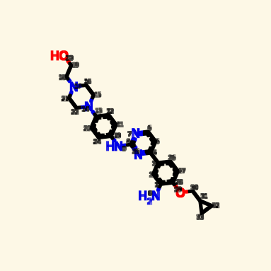 Nc1cc(-c2ccnc(Nc3ccc(N4CCN(CCO)CC4)cc3)n2)ccc1OCC1CC1